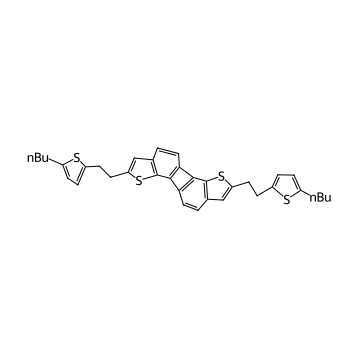 CCCCc1ccc(CCc2cc3ccc4c(c3s2)-c2ccc3cc(CCc5ccc(CCCC)s5)sc3c2-4)s1